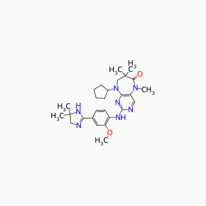 COc1cc(C2=NCC(C)(C)N2)ccc1Nc1ncc2c(n1)N(C1CCCC1)CC(C)(C)C(=O)N2C